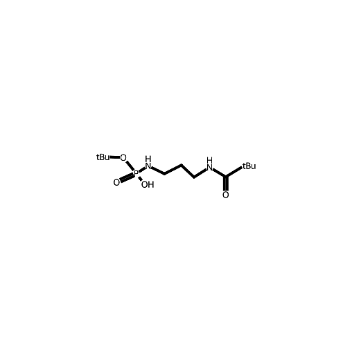 CC(C)(C)OP(=O)(O)NCCCNC(=O)C(C)(C)C